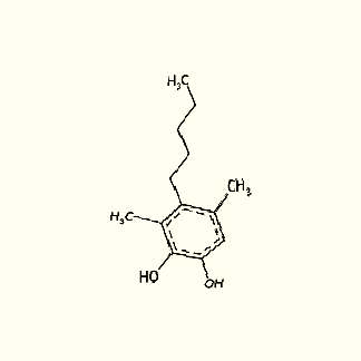 CCCCCc1c(C)cc(O)c(O)c1C